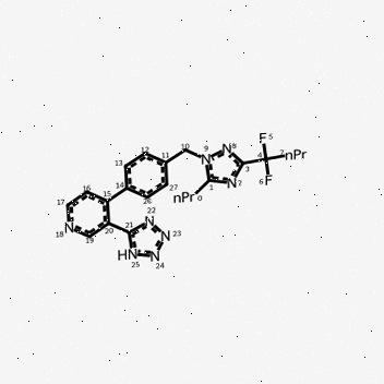 CCCc1nc(C(F)(F)CCC)nn1Cc1ccc(-c2ccncc2-c2nnn[nH]2)cc1